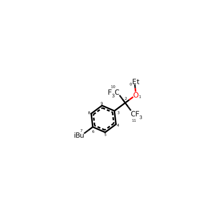 CCOC(c1ccc(C(C)CC)cc1)(C(F)(F)F)C(F)(F)F